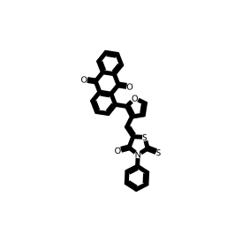 O=C1c2ccccc2C(=O)c2c1cccc2-c1occc1/C=C1\SC(=S)N(c2ccccc2)C1=O